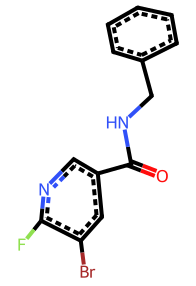 O=C(NCc1ccccc1)c1cnc(F)c(Br)c1